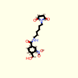 O=C(NCCCCCCN1C(=O)C=CC1=O)c1ccc(CO)c([N+](=O)[O-])c1